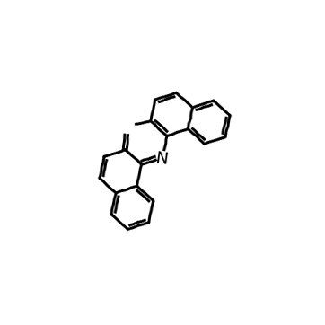 C=C1C=Cc2ccccc2/C1=N/c1c(C)ccc2ccccc12